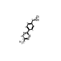 CCNCc1ccc(-c2nnc(C)nn2)cc1